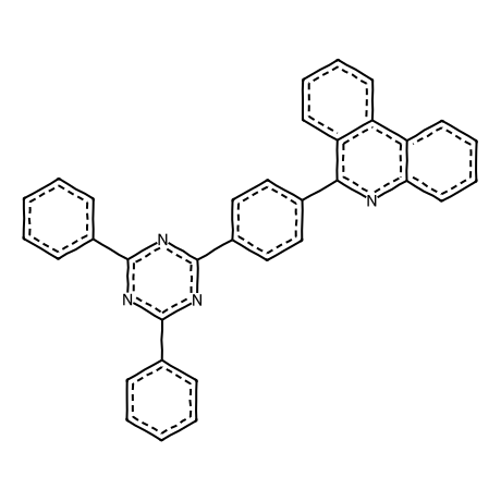 c1ccc(-c2nc(-c3ccccc3)nc(-c3ccc(-c4nc5ccccc5c5ccccc45)cc3)n2)cc1